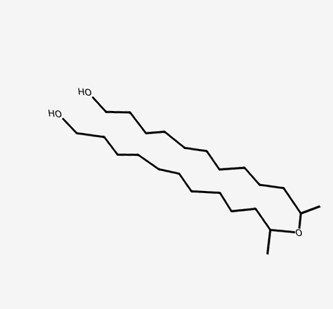 CC(CCCCCCCCCCO)OC(C)CCCCCCCCCCO